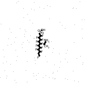 C=CCN.O=S(=O)(O)CC(F)C(F)C(F)C(F)C(F)C(F)C(F)C(F)C(F)CCF